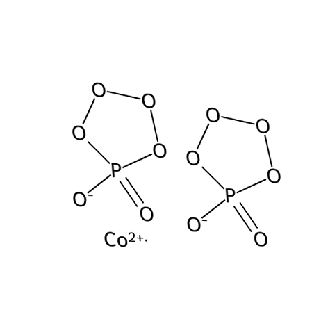 O=P1([O-])OOOO1.O=P1([O-])OOOO1.[Co+2]